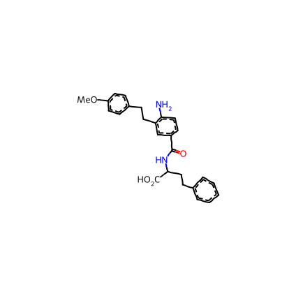 COc1ccc(CCc2cc(C(=O)NC(CCc3ccccc3)C(=O)O)ccc2N)cc1